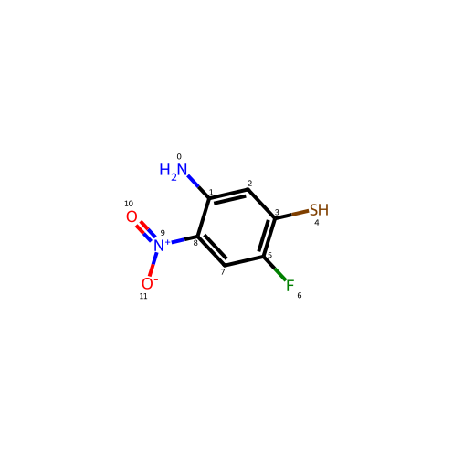 Nc1cc(S)c(F)cc1[N+](=O)[O-]